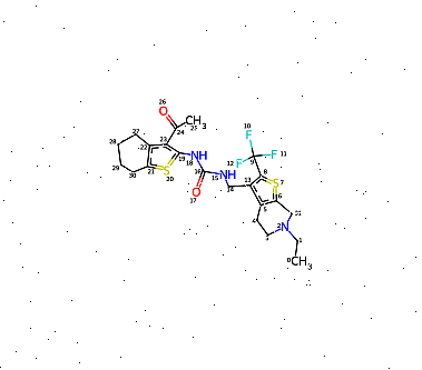 CCN1CCc2c(sc(C(F)(F)F)c2CNC(=O)Nc2sc3c(c2C(C)=O)CCCC3)C1